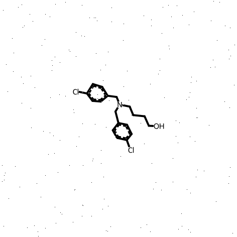 OCCCCN(Cc1ccc(Cl)cc1)Cc1ccc(Cl)cc1